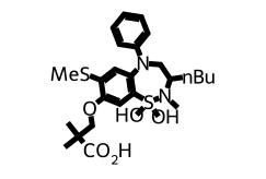 CCCCC1CN(c2ccccc2)c2cc(SC)c(OCC(C)(C)C(=O)O)cc2S(O)(O)N1C